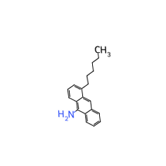 CCCCCCc1cccc2c(N)c3ccccc3cc12